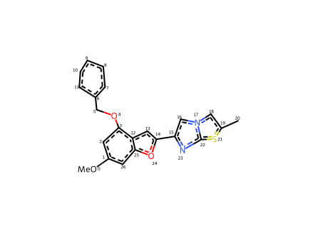 COc1cc(OCc2ccccc2)c2cc(-c3cn4cc(C)sc4n3)oc2c1